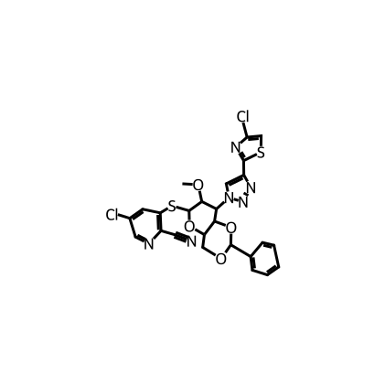 COC1C(Sc2cc(Cl)cnc2C#N)OC2COC(c3ccccc3)OC2C1n1cc(-c2nc(Cl)cs2)nn1